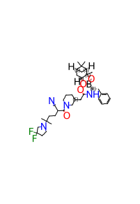 CC1(C)[C@@H]2C[C@H]3OB([C@H](Cc4ccccc4)NC(=O)C[C@@H]4CCCN(C(=O)C(C#N)CCC(C)(C)N5CCC(F)(F)C5)C4)O[C@@]3(C)[C@H]1C2